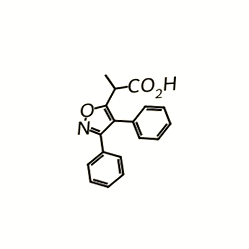 CC(C(=O)O)c1onc(-c2ccccc2)c1-c1ccccc1